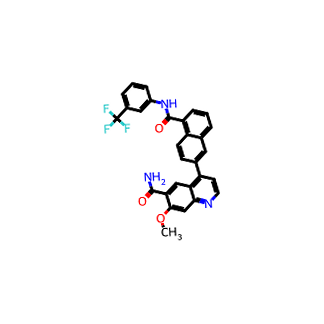 COc1cc2nccc(-c3ccc4c(C(=O)Nc5cccc(C(F)(F)F)c5)cccc4c3)c2cc1C(N)=O